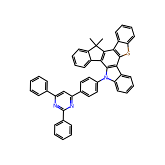 CC1(C)c2ccccc2-c2c1c1c3ccccc3sc1c1c3ccccc3n(-c3ccc(-c4cc(-c5ccccc5)nc(-c5ccccc5)n4)cc3)c21